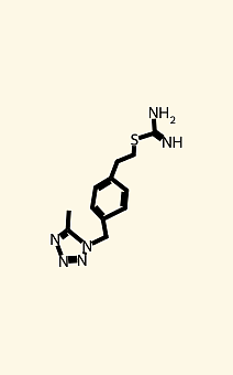 Cc1nnnn1Cc1ccc(CCSC(=N)N)cc1